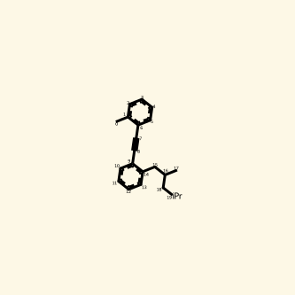 Cc1ccccc1C#Cc1ccccc1CC(C)CC(C)C